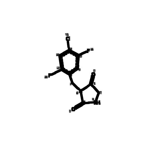 O=C1CNC(=O)N1Cc1cc(F)c(Cl)cc1F